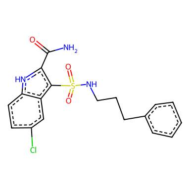 NC(=O)c1[nH]c2ccc(Cl)cc2c1S(=O)(=O)NCCCc1ccccc1